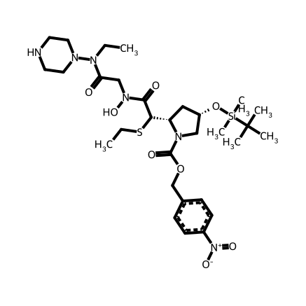 CCSC(C(=O)N(O)CC(=O)N(CC)N1CCNCC1)[C@@H]1C[C@H](O[Si](C)(C)C(C)(C)C)CN1C(=O)OCc1ccc([N+](=O)[O-])cc1